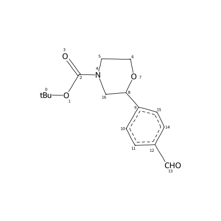 CC(C)(C)OC(=O)N1CCOC(c2ccc(C=O)cc2)C1